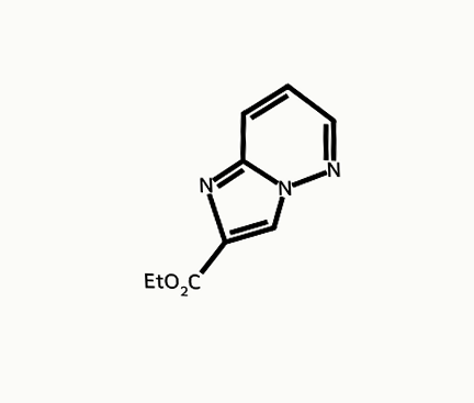 CCOC(=O)c1cn2ncccc2n1